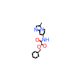 Cc1cnc2cc(NC(=O)C(=O)OCc3ccccc3)ccn12